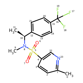 Cc1ccc(S(=O)(=O)N(C)[C@@H](C)c2ccc(C(F)(F)F)cc2)cn1